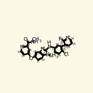 CNC(=O)c1cc(Oc2ccc3c(c2)nc(Nc2ccc(Cl)c(-c4cccnc4F)c2)n3C)ccn1